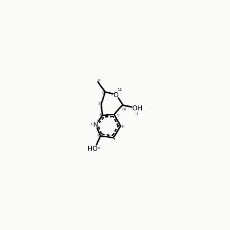 CC1Cc2nc(O)ccc2C(O)O1